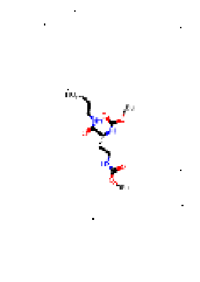 CC(C)(C)OC(=O)NCC[C@@H](NC(=O)OC(C)(C)C)C(=O)NCCC(=O)O